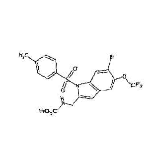 Cc1ccc(S(=O)(=O)n2c(CNC(=O)O)cc3cc(OC(F)(F)F)c(Br)cc32)cc1